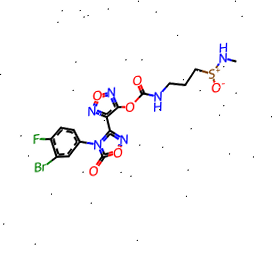 CN[S+]([O-])CCCNC(=O)Oc1nonc1-c1noc(=O)n1-c1ccc(F)c(Br)c1